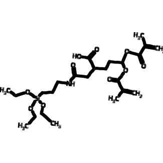 C=C(C)C(=O)OC(CCC(CC(=O)NCCC[Si](OCC)(OCC)OCC)C(=O)O)OC(=O)C(=C)C